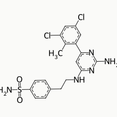 Cc1c(Cl)cc(Cl)cc1-c1cc(NCCc2ccc(S(N)(=O)=O)cc2)nc(N)n1